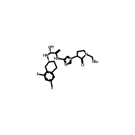 C=C(Nc1cn(C2CCN(CC(C)(C)C)C2=O)cn1)[C@H](CCC)N[C@H]1CCc2cc(F)cc(F)c2C1